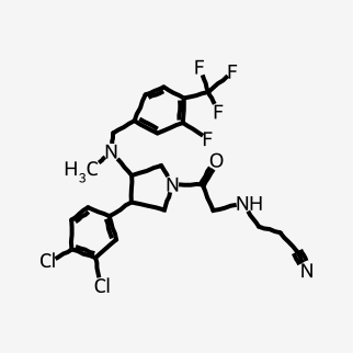 CN(Cc1ccc(C(F)(F)F)c(F)c1)C1CN(C(=O)CNCCC#N)CC1c1ccc(Cl)c(Cl)c1